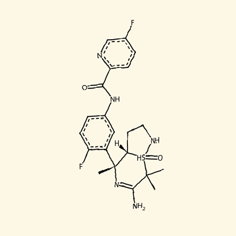 CC1(C)C(N)=N[C@](C)(c2cc(NC(=O)c3ccc(F)cn3)ccc2F)[C@@H]2CCN[SH]21=O